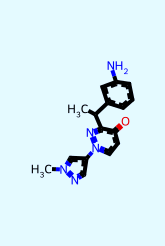 CC(c1cccc(N)c1)c1nn(-c2cnn(C)c2)ccc1=O